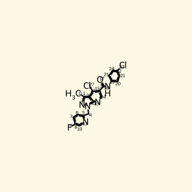 Cc1nn(Cc2ccc(F)cn2)c2ncc(C(=O)Nc3ccc(Cl)cc3)c(Cl)c12